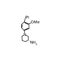 COc1cc(N2CCC[C@@H](N)C2)ccc1C(C)C